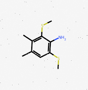 CSc1cc(C)c(C)c(SC)c1N